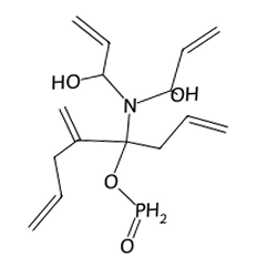 C=CCC(=C)C(CC=C)(O[PH2]=O)N(C(O)C=C)C(O)C=C